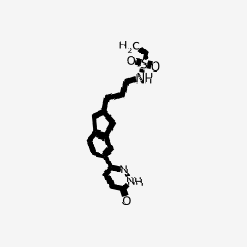 C=CS(=O)(=O)NCCCC1Cc2ccc(-c3ccc(=O)[nH]n3)cc2C1